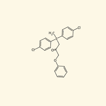 CS(CC(=O)COc1ccccc1)(c1ccc(Cl)cc1)c1ccc(Cl)cc1